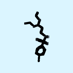 CCOC(CCNS(=O)(=O)c1ccc(C)cc1)OCC